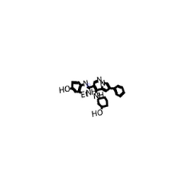 CCc1cc(O)ccc1/N=C(\N)c1cnn2cc(-c3ccccc3)cc2c1NC1CCCC(O)C1